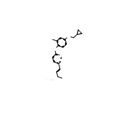 CC(=O)N[C@@H](C)/C=C/c1ccc(Oc2ccc(OCC3CC3)cc2Cl)nn1